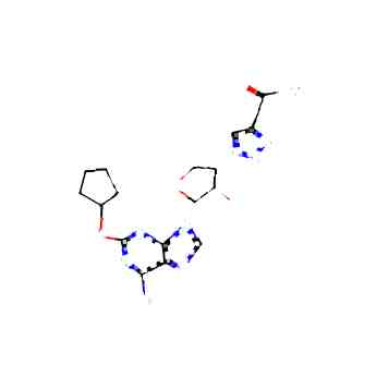 COC(=O)c1cn([C@@H]2[C@@H](O)[C@H](n3cnc4c(N)nc(OC5CCCC5)nc43)O[C@@H]2C)nn1